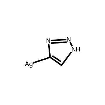 [Ag][c]1c[nH]nn1